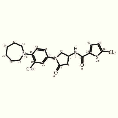 O=C(NC1CC(=O)N(c2ccc(N3CCCCCC3)c(Cl)c2)C1)c1ccc(Cl)s1